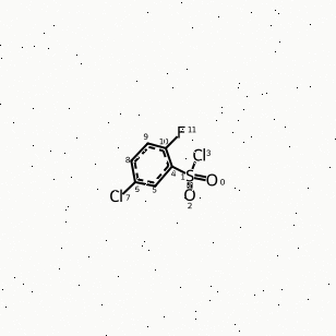 O=S(=O)(Cl)c1cc(Cl)ccc1F